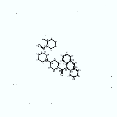 CC1CCCCN1C(=O)[C@@H]1CCCN(C2CCN(C(=O)c3c4ccccc4cc4ccccc34)CC2)C1